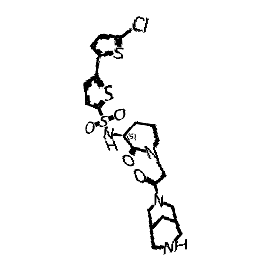 O=C(CN1CCC[C@H](NS(=O)(=O)c2ccc(-c3ccc(Cl)s3)s2)C1=O)N1CC2CNCC(C2)C1